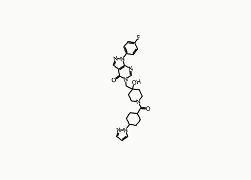 O=C(C1CCC(n2cccn2)CC1)N1CCC(O)(Cn2cnc3c(cnn3-c3ccc(F)cc3)c2=O)CC1